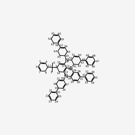 CC(C)(C1C=CC=CC1)C1C=C2C3=C(C1)N(C1=CCC(c4ccccc4)C=C1)c1ccc(-c4ccccc4)cc1B3C1CC(c3ccccc3)C=CC1N2C1CC=C(C2=CC=CCC2)CC1